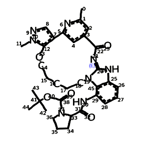 Cc1cc2cc(n1)-c1cnn(C)c1OCCCCCN1/C(=N/C2=O)Nc2cccc(NC(=O)C3CCCN3C(=O)OC(C)(C)C)c21